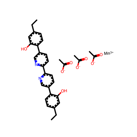 CC(=O)[O-].CC(=O)[O-].CC(=O)[O-].CCc1ccc(-c2ccc(-c3ccc(-c4ccc(CC)cc4O)cn3)nc2)c(O)c1.[Mn+3]